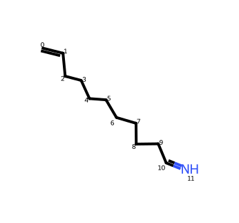 C=CCCCCCCCCC=N